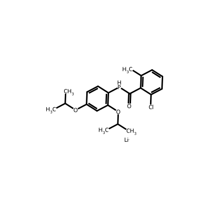 Cc1cccc(Cl)c1C(=O)Pc1ccc(OC(C)C)cc1OC(C)C.[Li]